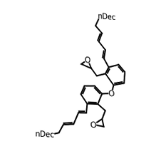 CCCCCCCCCCCC=CC=Cc1cccc(Oc2cccc(C=CC=CCCCCCCCCCCC)c2CC2CO2)c1CC1CO1